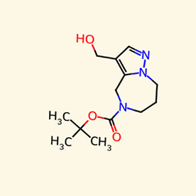 CC(C)(C)OC(=O)N1CCCn2ncc(CO)c2C1